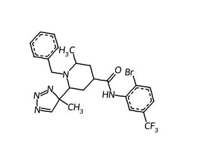 CC1CC(C(=O)Nc2cc(C(F)(F)F)ccc2Br)CC(C2(C)C=NN=N2)N1Cc1ccccc1